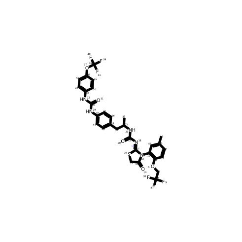 Cc1ccc(OCC(F)(F)F)c(N2C(=O)CS/C2=N\C(=O)NC(C)Cc2ccc(NC(=O)Nc3ccc(OC(F)(F)F)cc3)cc2)c1